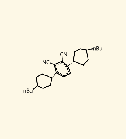 CCCC[C@H]1CC[C@H](c2ccc([C@H]3CC[C@H](CCCC)CC3)c(C#N)c2C#N)CC1